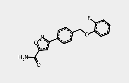 NC(=O)c1cc(-c2ccc(COc3ccccc3F)cc2)no1